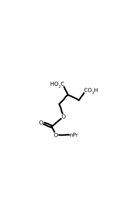 CCCOC(=O)OCC(CC(=O)O)C(=O)O